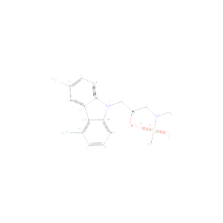 CN(CC(O)Cn1c2ccc(F)cc2c2c(F)cccc21)S(C)(=O)=O